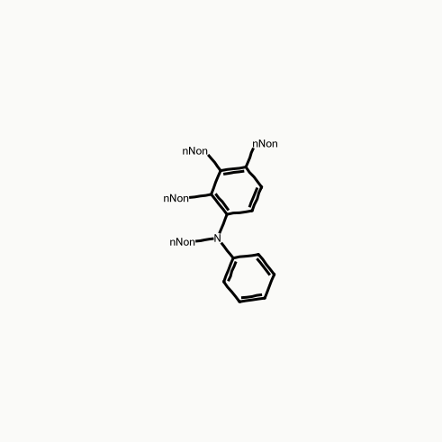 CCCCCCCCCc1ccc(N(CCCCCCCCC)c2ccccc2)c(CCCCCCCCC)c1CCCCCCCCC